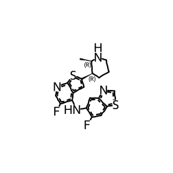 C[C@H]1NCCC[C@H]1c1cc2c(Nc3cc4ncsc4cc3F)c(F)cnc2s1